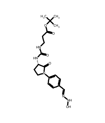 CC(C)(C)OC(=O)CCNC(=O)N[C@H]1CCN(c2ccc(C=NNO)cc2)C1=O